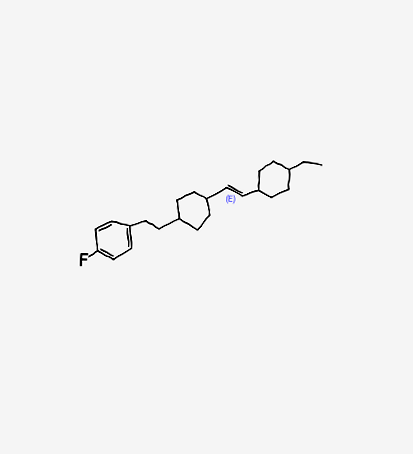 CCC1CCC(/C=C/C2CCC(CCc3ccc(F)cc3)CC2)CC1